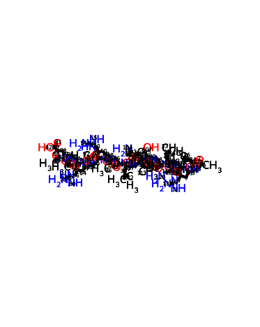 CC(=O)CN(C[C@H](CCCNC(=N)N)NC(=O)CN(C[C@H](CC(C)C)NC(=O)CN(C[C@@H](NC(=O)CN(C[C@H](CC(C)C)NC(=O)CN(C[C@H](CCCNC(=N)N)NC(=O)CN(C[C@H](CCCNC(=N)N)NC(=O)CN(C[C@H](CCC(=O)O)NC(C)=O)S(C)(=O)=O)S(C)(=O)=O)S(C)(=O)=O)S(=O)(=O)CCN)C(C)O)S(=O)(=O)CC(C)C)S(=O)(=O)CCN)S(=O)(=O)CC(C)C